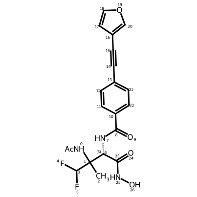 CC(=O)NC(C)(C(F)F)[C@H](NC(=O)c1ccc(C#Cc2ccoc2)cc1)C(=O)NO